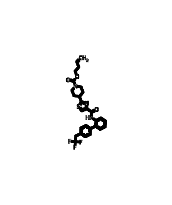 C=CCCOC(=O)N1CCC(c2nc(C(=O)Nc3ccccc3-c3ccc(CC(F)(F)F)cc3)cs2)CC1